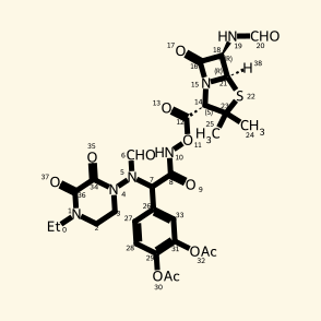 CCN1CCN(N(C=O)C(C(=O)NOC(=O)[C@@H]2N3C(=O)[C@@H](NC=O)[C@H]3SC2(C)C)c2ccc(OC(C)=O)c(OC(C)=O)c2)C(=O)C1=O